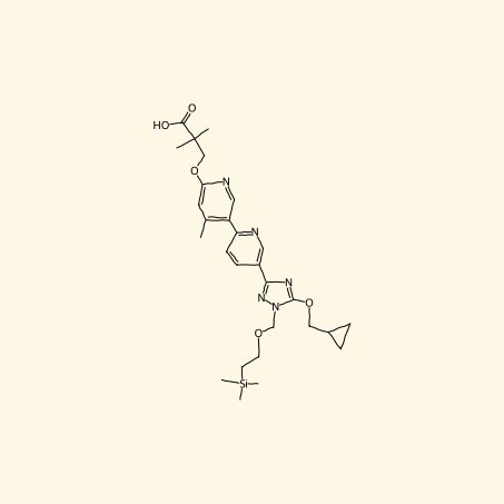 Cc1cc(OCC(C)(C)C(=O)O)ncc1-c1ccc(-c2nc(OCC3CC3)n(COCC[Si](C)(C)C)n2)cn1